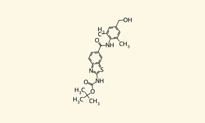 Cc1cc(CO)cc(C)c1NC(=O)c1ccc2nc(NC(=O)OC(C)(C)C)sc2c1